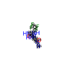 CC(Cc1c(F)c(F)cc(F)c1F)Nc1cc[nH]c(=O)c1-c1nc2cc3c(cc2[nH]1)CN(CCN(C)C)C3=O